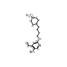 CN1CCC(CCCCOc2cc(C=O)c(Br)cn2)CC1